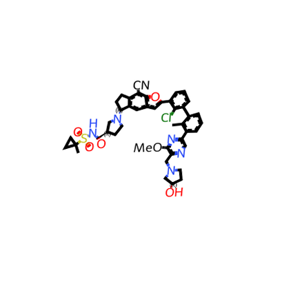 COc1nc(-c2cccc(-c3cccc(-c4cc5cc6c(c(C#N)c5o4)CC[C@H]6N4CC[C@@H](C(=O)NS(=O)(=O)C5(C)CC5)C4)c3Cl)c2C)cnc1CN1CC[C@@H](O)C1